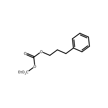 CCOC(=O)OC(=O)OCCCc1ccccc1